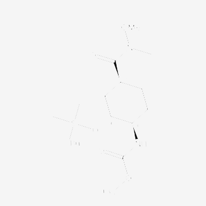 CON(C)C(=O)[C@H]1CC[C@@H](NC(=O)OC(C)(C)C)[C@H](O[Si](C)(C)C(C)(C)C)C1